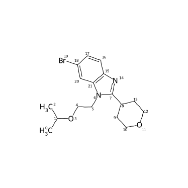 CC(C)OCCn1c(C2CCOCC2)nc2ccc(Br)cc21